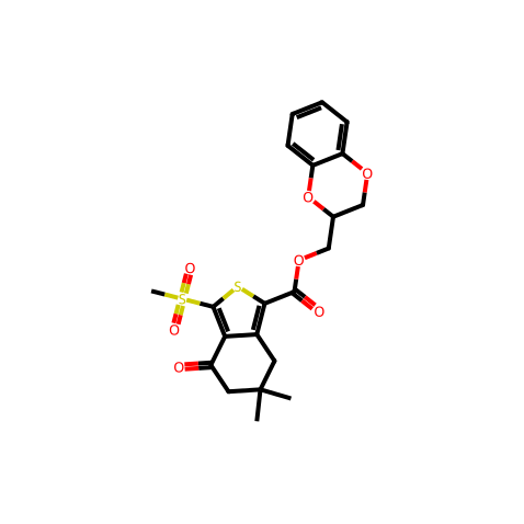 CC1(C)CC(=O)c2c(S(C)(=O)=O)sc(C(=O)OCC3COc4ccccc4O3)c2C1